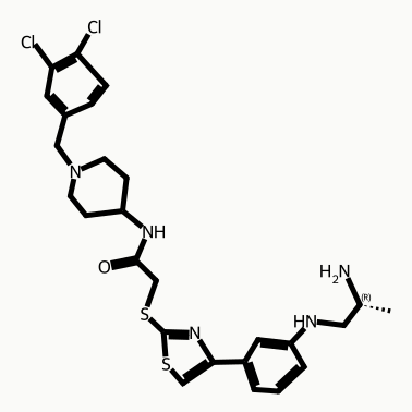 C[C@@H](N)CNc1cccc(-c2csc(SCC(=O)NC3CCN(Cc4ccc(Cl)c(Cl)c4)CC3)n2)c1